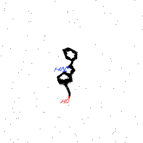 OCc1ccc2[nH]c(-c3ccccc3)cc2c1